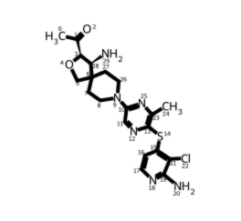 CC(=O)[C@@H]1OCC2(CCN(c3cnc(Sc4ccnc(N)c4Cl)c(C)n3)CC2)[C@@H]1N